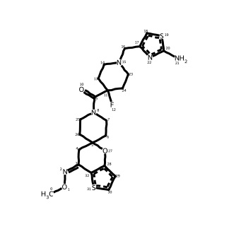 CO/N=C1/CC2(CCN(C(=O)C3(F)CCN(Cc4csc(N)n4)CC3)CC2)Oc2ccsc21